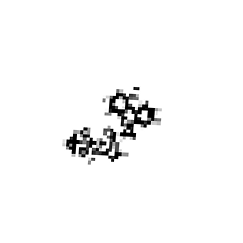 C[C@H](NS(=O)(=O)C1(C)CC1)[C@@H]1CCN1C(=O)[C@@H]1C[C@@]1(F)c1ccccc1-c1c(F)cccc1F